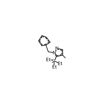 CC[Si](CC)(CC)c1c(C)cnn1Cc1ccccc1